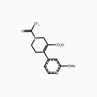 CCOC(=O)C1=C(c2ccnc(OC)c2)CCN(C(=O)C(F)(F)F)C1